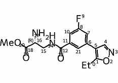 CCc1oncc1-c1cc(F)cc(C(=O)NC[C@@H](N)C(=O)OC)c1